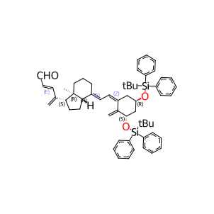 C=C1/C(=C\C=C2/CCC[C@]3(C)[C@@H](C(=C)/C=C/C=O)CC[C@@H]23)C[C@@H](O[Si](c2ccccc2)(c2ccccc2)C(C)(C)C)C[C@@H]1O[Si](c1ccccc1)(c1ccccc1)C(C)(C)C